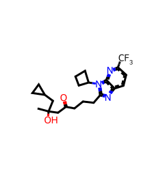 CC(O)(CC(=O)CCCc1nc2ccc(C(F)(F)F)nc2n1C1CCC1)CC1CC1